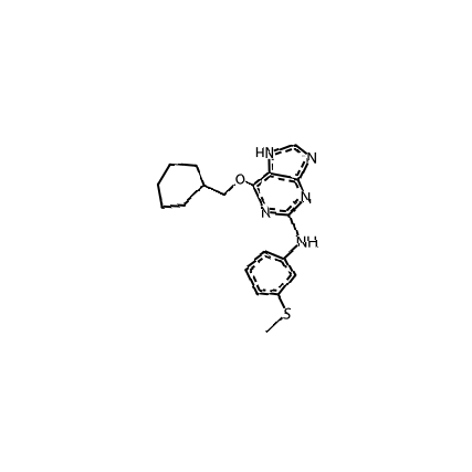 CSc1cccc(Nc2nc(OCC3CCCCC3)c3[nH]cnc3n2)c1